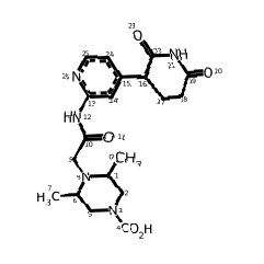 CC1CN(C(=O)O)CC(C)N1CC(=O)Nc1cc(C2CCC(=O)NC2=O)ccn1